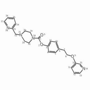 O=C(Oc1ccc(CCOc2cccnc2)cc1)N1CCN(Cc2ccccn2)CC1